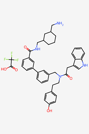 NCC1CCCC(CNC(=O)c2cccc(-c3cccc(CN(CCc4ccc(O)cc4)C(=O)Cc4c[nH]c5ccccc45)c3)c2)C1.O=C(O)C(F)(F)F